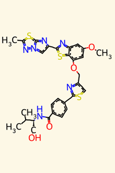 COc1cc(OCc2csc(-c3ccc(C(=O)N[C@@H](CO)C(C)C)cc3)n2)c2sc(-c3cn4nc(C)sc4n3)nc2c1